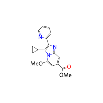 COC(=O)c1cc(OC)n2c(C3CC3)c(-c3ccccn3)nc2c1